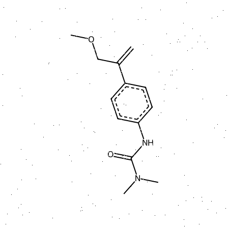 C=C(COC)c1ccc(NC(=O)N(C)C)cc1